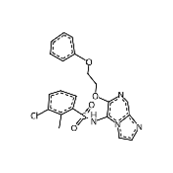 Cc1c(Cl)cccc1S(=O)(=O)Nc1c(OCCOc2ccccc2)ncc2nccn12